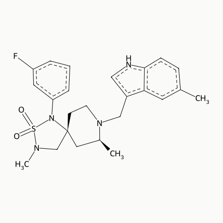 Cc1ccc2[nH]cc(CN3CC[C@@]4(C[C@@H]3C)CN(C)S(=O)(=O)N4c3cccc(F)c3)c2c1